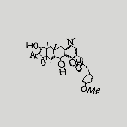 COC1=CCC(CC(=O)Cc2cc(N(C)C)c3c(c2O)C(O)C2=C(C)[C@]4(C)C(=O)C(C(C)=O)=C(O)C[C@]4(C)C[C@]2(C)C3)C=C1